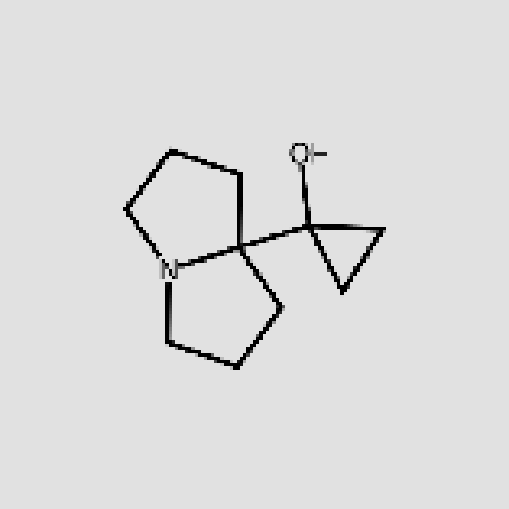 OC1(C23CCCN2CCC3)CC1